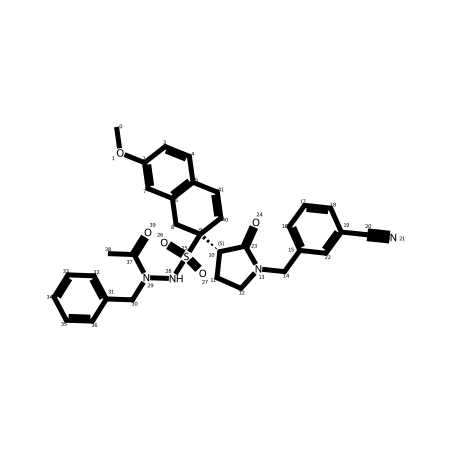 COc1ccc2c(c1)CC([C@H]1CCN(Cc3cccc(C#N)c3)C1=O)(S(=O)(=O)NN(Cc1ccccc1)C(C)=O)C=C2